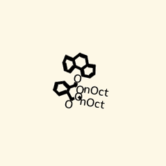 CCCCCCCCOC(=O)c1ccccc1C(=O)OCCCCCCCC.c1ccc2c(c1)ccc1ccccc12